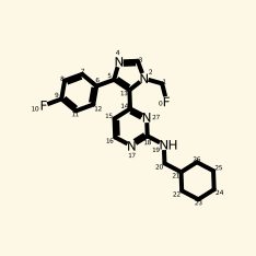 FCn1cnc(-c2ccc(F)cc2)c1-c1ccnc(NCC2CCCCC2)n1